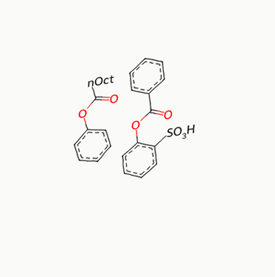 CCCCCCCCC(=O)Oc1ccccc1.O=C(Oc1ccccc1S(=O)(=O)O)c1ccccc1